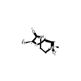 CC[C@@H]1SC2(CC[N+](C)([O-])CC2)NC1=O